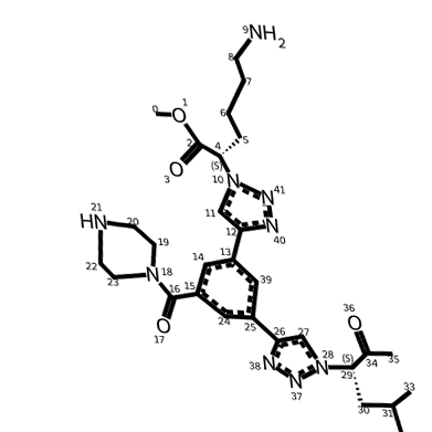 COC(=O)[C@H](CCCCN)n1cc(-c2cc(C(=O)N3CCNCC3)cc(-c3cn([C@@H](CC(C)C)C(C)=O)nn3)c2)nn1